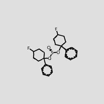 O=S(OC1(c2ccccc2)CCC(F)CC1)OC1(c2ccccc2)CCC(F)CC1